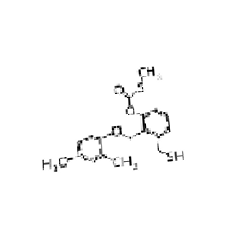 CSC(=O)Oc1cccc(CS)c1COc1ccc(C)cc1C